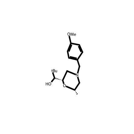 COc1ccc(CN2C[C@@H](C(O)C(C)(C)C)O[C@@H](C)C2)cc1